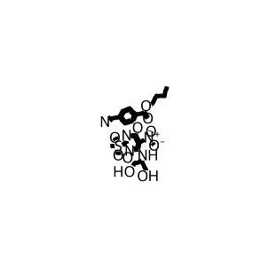 CCCCOC(=O)c1ccc(C#N)cc1Oc1nc(S(C)(=O)=O)nc(NC(CO)C(=O)O)c1[N+](=O)[O-]